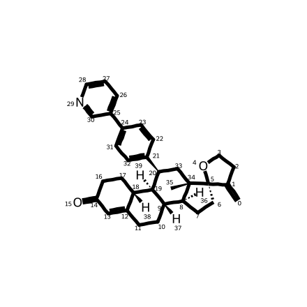 C=C1CCO[C@@]12CC[C@H]1[C@@H]3CCC4=CC(=O)CC[C@@H]4[C@H]3[C@@H](c3ccc(-c4cccnc4)cc3)C[C@@]12C